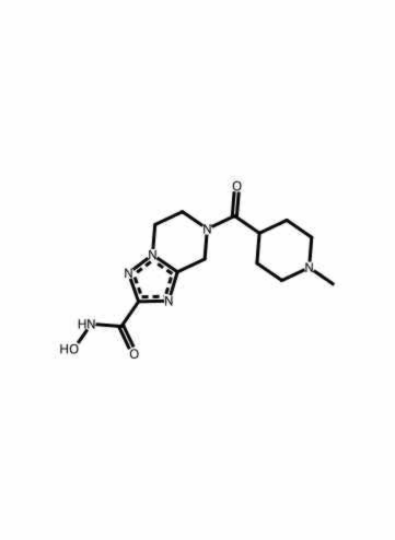 CN1CCC(C(=O)N2CCn3nc(C(=O)NO)nc3C2)CC1